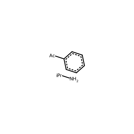 CC(=O)c1ccccc1.CC(C)N